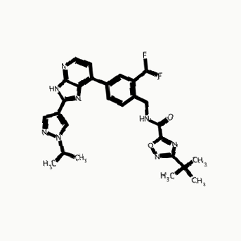 CC(C)n1cc(-c2nc3c(-c4ccc(CNC(=O)c5nc(C(C)(C)C)no5)c(C(F)F)c4)ccnc3[nH]2)cn1